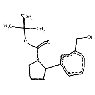 CC(C)(C)OC(=O)N1CCCC1c1cccc(CO)c1